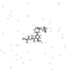 CC(C)NC(=O)CNC(=O)c1cc(N2CCCNC(CCS(C)(=O)=O)C2)ccc1N